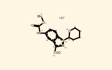 CC(C)(C)OC(=O)Nc1ccc2c(c1)c(C(=O)[O-])nn2C1CCCCO1.[Li+]